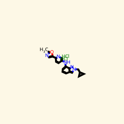 Cc1ncc(-c2ccc(Nc3cccc4cn(CC5CC5)nc34)cn2)o1.Cl.Cl